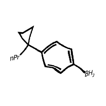 Bc1ccc(C2(CCC)CC2)cc1